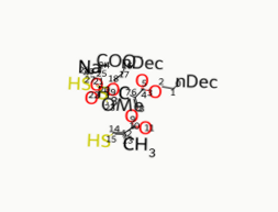 CCCCCCCCCCCCOC(=O)C(C)=COC(=O)C(C)=CS.CCCCCCCCCCCCOS(=O)(=O)OC.O=C([O-])CCS.[Na+]